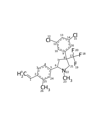 C=Cc1ccc(C2CC(c3cc(Cl)cc(Cl)c3)(C(F)(F)F)CN2C)cc1C